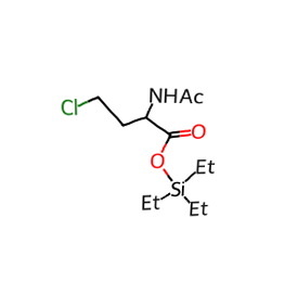 CC[Si](CC)(CC)OC(=O)C(CCCl)NC(C)=O